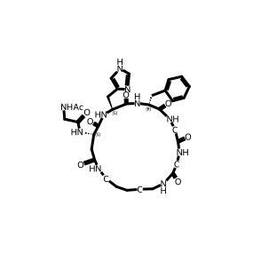 CC(=O)NCC(=O)N[C@H]1CC(=O)NCCCCCNC(=O)CNC(=O)CNC(=O)[C@@H](Cc2ccccc2)NC(=O)[C@H](Cc2c[nH]cn2)NC1=O